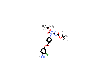 CNc1ccc(OC(=O)c2ccc(N(C(=O)OC(C)(C)C)C(N)=NC(=O)OC(C)(C)C)cc2)cc1Cl